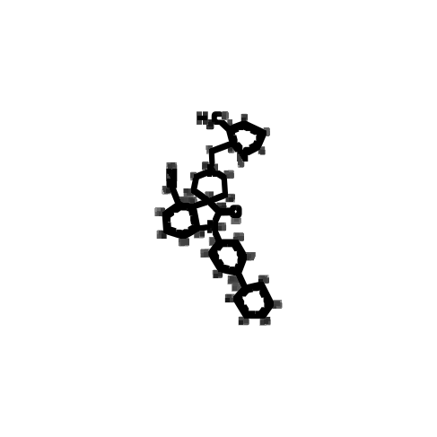 Cc1cccnc1CN1CCC2(CC1)C(=O)N(c1ccc(-c3ccccc3)cc1)c1cccc(C#N)c12